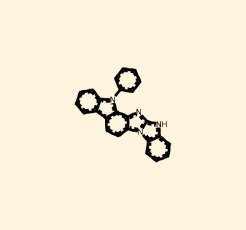 c1ccc(-n2c3ccccc3c3ccc4c(nc5[nH]c6ccccc6n54)c32)cc1